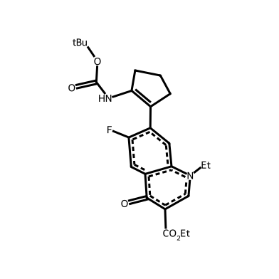 CCOC(=O)c1cn(CC)c2cc(C3=C(NC(=O)OC(C)(C)C)CCC3)c(F)cc2c1=O